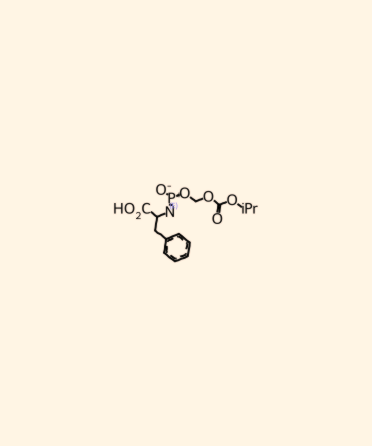 CC(C)OC(=O)OCO/[P+]([O-])=N/C(Cc1ccccc1)C(=O)O